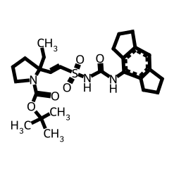 CCC1(/C=C/S(=O)(=O)NC(=O)Nc2c3c(cc4c2CCC4)CCC3)CCCN1C(=O)OC(C)(C)C